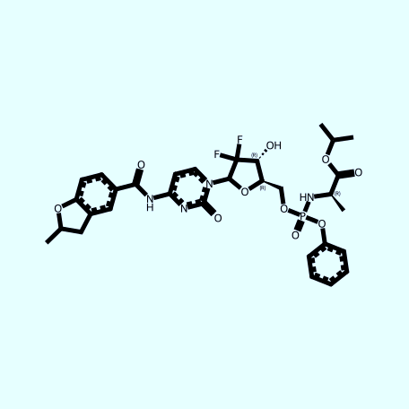 CC(C)OC(=O)[C@@H](C)NP(=O)(OC[C@H]1OC(n2ccc(NC(=O)c3ccc4c(c3)CC(C)O4)nc2=O)C(F)(F)[C@@H]1O)Oc1ccccc1